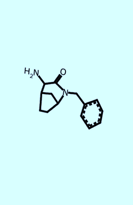 NC1C(=O)N(Cc2ccccc2)C2CCC1C2